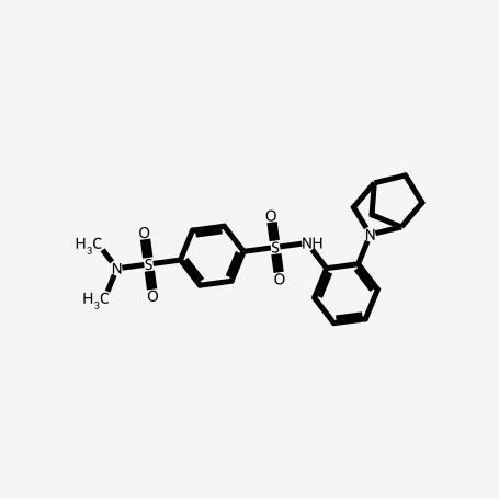 CN(C)S(=O)(=O)c1ccc(S(=O)(=O)Nc2ccccc2N2CC3CCC2C3)cc1